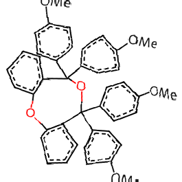 COc1ccc(C2(c3ccc(OC)cc3)OC(c3ccc(OC)cc3)(c3ccc(OC)cc3)c3ccccc3Oc3ccccc32)cc1